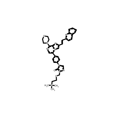 C[Si](C)(C)CCOCn1ncn(-c2ccc(-c3cnc(N4CCOCC4)c4nc(/C=C/c5ccc6ccccc6n5)cn34)cc2)c1=O